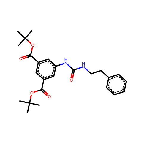 CC(C)(C)OC(=O)c1cc(NC(=O)NCCc2ccccc2)cc(C(=O)OC(C)(C)C)c1